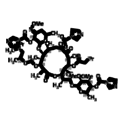 CON=C1CC(C)OC(O[C@@H]2[C@@H](C)[C@H](OCO[C@@H](C)CN(C)C(C)C)C(C)C(=O)O[C@H]([C@@H](C)COC3O[C@H](C)[C@@H](OC(=O)n4ccnc4)[C@@H](OC)[C@H]3OC)[C@H](C)[C@@H](OC(=O)CC(C)C)[C@@H](C)C(=O)[C@@](C)(OC(=O)n3ccnc3)C[C@@H]2C)[C@@H]1OC(=O)n1ccnc1